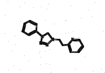 [c]1cccc(N2CN(CCc3ccccn3)N=N2)c1